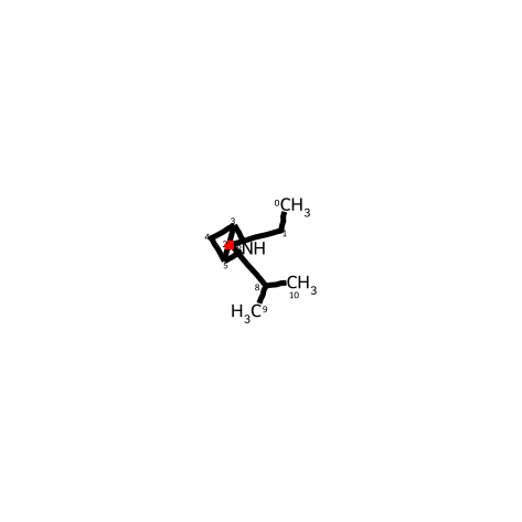 CCC1C2CC(N2)C1C(C)C